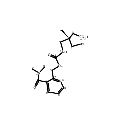 CC(C)C[C@](C)(CNC(=O)OCc1ncccc1C(=O)N(C)C)CC(=O)O